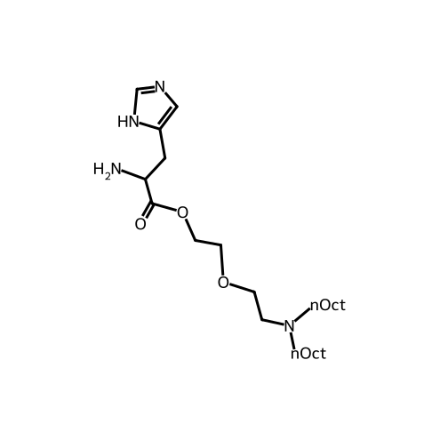 CCCCCCCCN(CCCCCCCC)CCOCCOC(=O)C(N)Cc1cnc[nH]1